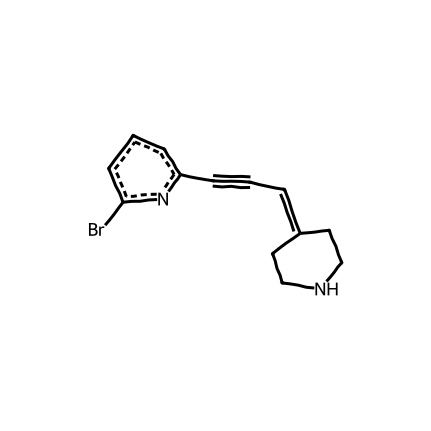 Brc1cccc(C#CC=C2CCNCC2)n1